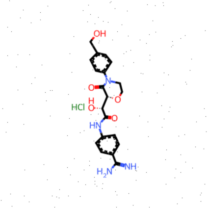 Cl.N=C(N)c1ccc(NC(=O)[C@H](O)[C@H]2OCCN(c3ccc(CO)cc3)C2=O)cc1